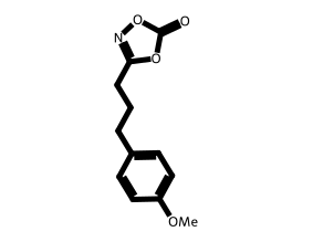 COc1ccc(CCCc2noc(=O)o2)cc1